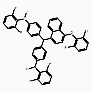 CCN(c1ccc(C(c2ccc(N(CC)c3c(C(C)C)cccc3C(C)C)cc2)c2ccc(Nc3c(C(C)C)cccc3C(C)C)c3ccccc23)cc1)c1c(C(C)C)cccc1C(C)C